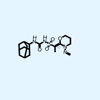 C=NN1CCCO/C1=C(/C)S(=O)(=O)NC(=O)NC1C2CC3CC(C2)CC1C3